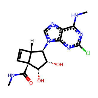 CNC(=O)[C@@]12C=C[C@@H]1[C@@H](n1cnc3c(NC)nc(Cl)nc31)[C@H](O)[C@@H]2O